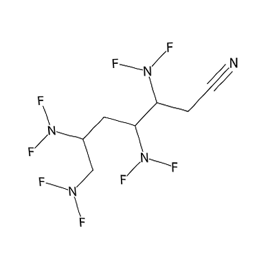 N#CCC(C(CC(CN(F)F)N(F)F)N(F)F)N(F)F